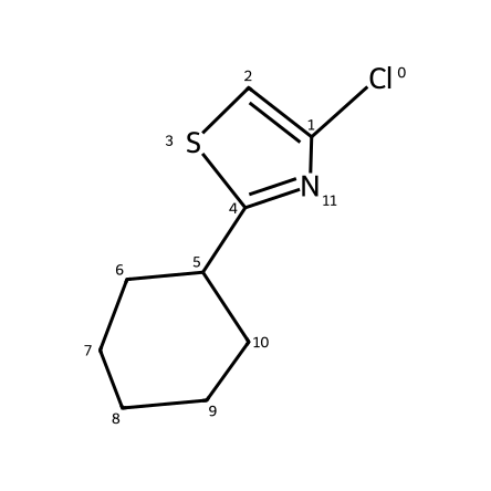 Clc1csc(C2CCCCC2)n1